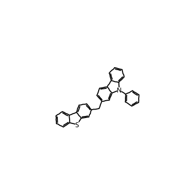 c1ccc(-n2c3ccccc3c3ccc(Cc4ccc5c(c4)sc4ccccc45)cc32)cc1